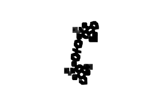 CC(C)(c1ccc(Oc2cc(O)c3c(c2N)C(=O)c2ccccc2C3=O)cc1)c1ccc(Oc2cc(O)c3c(c2N)C(=O)c2ccccc2C3=O)cc1